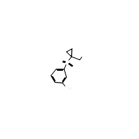 O=S(=O)(c1cccc(O)c1)C1(CO)CC1